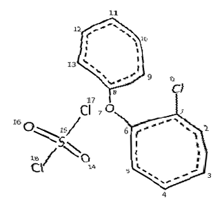 Clc1ccccc1Oc1ccccc1.O=S(=O)(Cl)Cl